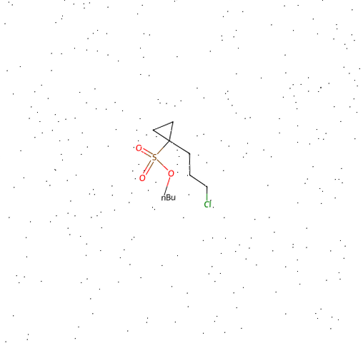 CCCCOS(=O)(=O)C1(CCCCl)CC1